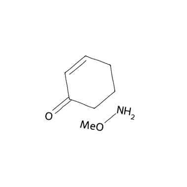 CON.O=C1C=CCCC1